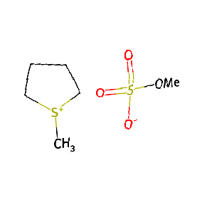 COS(=O)(=O)[O-].C[S+]1CCCC1